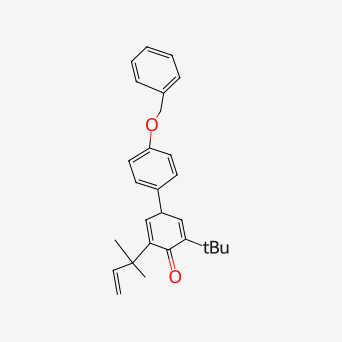 C=CC(C)(C)C1=CC(c2ccc(OCc3ccccc3)cc2)C=C(C(C)(C)C)C1=O